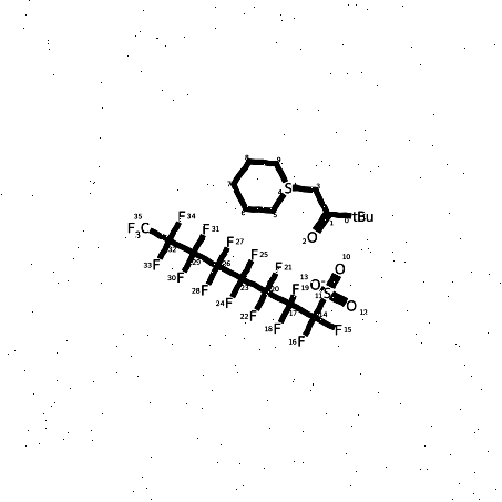 CC(C)(C)C(=O)C[S+]1CCCCC1.O=S(=O)([O-])C(F)(F)C(F)(F)C(F)(F)C(F)(F)C(F)(F)C(F)(F)C(F)(F)C(F)(F)F